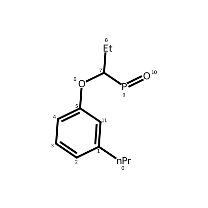 CCCc1cccc(OC(CC)P=O)c1